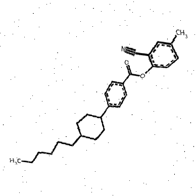 CCCCCCC1CCC(c2ccc(C(=O)Oc3ccc(C)cc3C#N)cc2)CC1